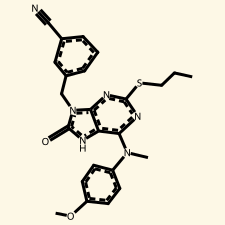 CCCSc1nc(N(C)c2ccc(OC)cc2)c2[nH]c(=O)n(Cc3cccc(C#N)c3)c2n1